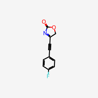 O=C1N=C(C#Cc2ccc(F)cc2)CO1